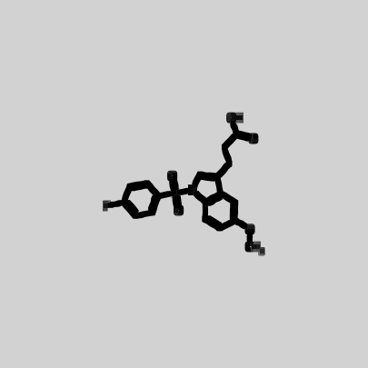 COc1ccc2c(c1)c(CCC(=O)O)cn2S(=O)(=O)c1ccc(F)cc1